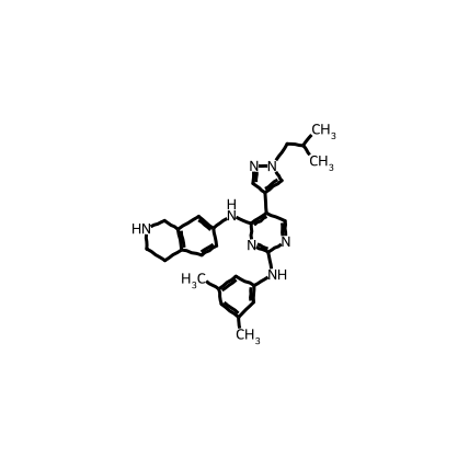 Cc1cc(C)cc(Nc2ncc(-c3cnn(CC(C)C)c3)c(Nc3ccc4c(c3)CNCC4)n2)c1